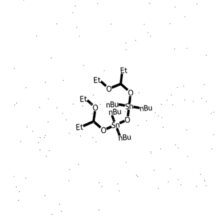 CCC[CH2][Sn]([CH2]CCC)([O]C(CC)OCC)[O][Sn]([CH2]CCC)([CH2]CCC)[O]C(CC)OCC